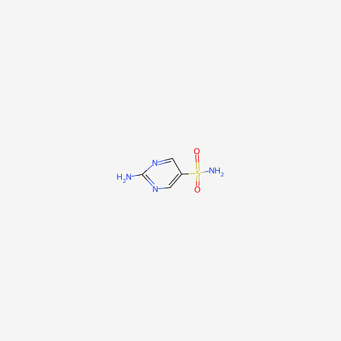 Nc1ncc(S(N)(=O)=O)cn1